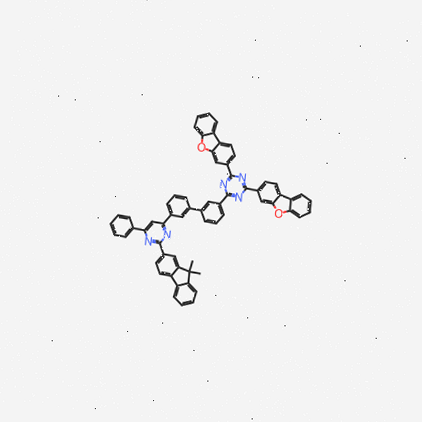 CC1(C)c2ccccc2-c2ccc(-c3nc(-c4ccccc4)cc(-c4cccc(-c5cccc(-c6nc(-c7ccc8c(c7)oc7ccccc78)nc(-c7ccc8c(c7)oc7ccccc78)n6)c5)c4)n3)cc21